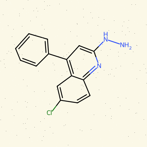 NNc1cc(-c2ccccc2)c2cc(Cl)ccc2n1